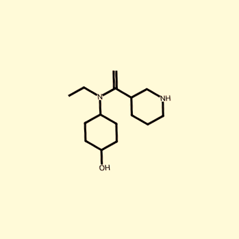 C=C(C1CCCNC1)N(CC)C1CCC(O)CC1